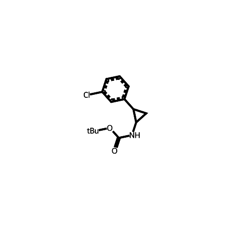 CC(C)(C)OC(=O)NC1CC1c1cccc(Cl)c1